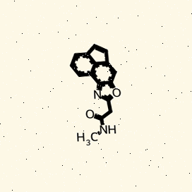 CNC(=O)Cc1nc2c(cc3c4c(cccc42)C=C3)o1